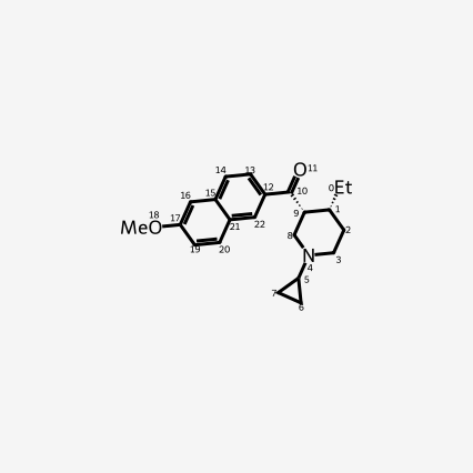 CC[C@@H]1CCN(C2CC2)C[C@@H]1C(=O)c1ccc2cc(OC)ccc2c1